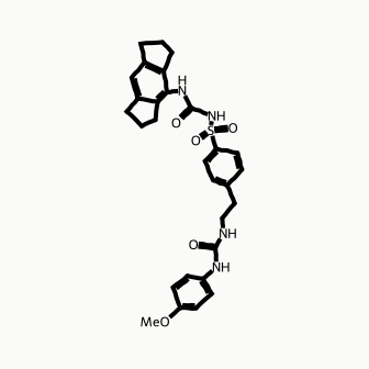 COc1ccc(NC(=O)NCCc2ccc(S(=O)(=O)NC(=O)Nc3c4c(cc5c3CCC5)CCC4)cc2)cc1